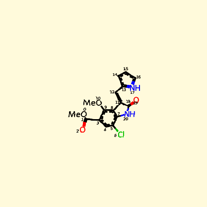 COC(=O)c1cc(Cl)c2c(c1OC)C(=Cc1ccc[nH]1)C(=O)N2